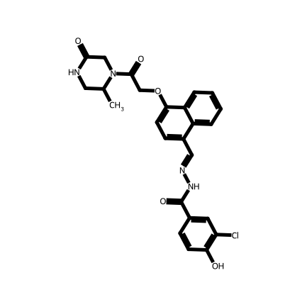 CC1CNC(=O)CN1C(=O)COc1ccc(/C=N/NC(=O)c2ccc(O)c(Cl)c2)c2ccccc12